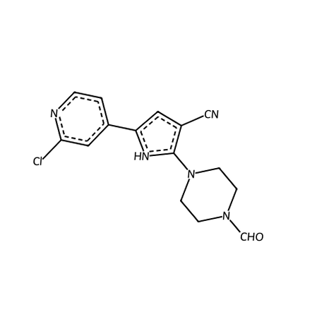 N#Cc1cc(-c2ccnc(Cl)c2)[nH]c1N1CCN(C=O)CC1